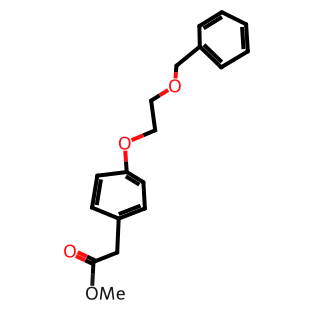 COC(=O)Cc1ccc(OCCOCc2ccccc2)cc1